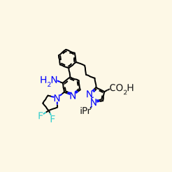 CC(C)n1cc(C(=O)O)c(CCCc2ccccc2-c2ccnc(N3CCC(F)(F)C3)c2N)n1